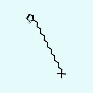 CC(C)(C)CCCCCCCCCCCCCCCc1cccs1